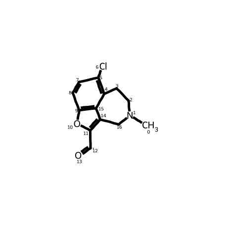 CN1CCc2c(Cl)ccc3oc([C]=O)c(c23)C1